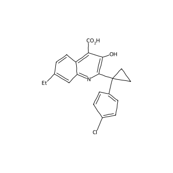 CCc1ccc2c(C(=O)O)c(O)c(C3(c4ccc(Cl)cc4)CC3)nc2c1